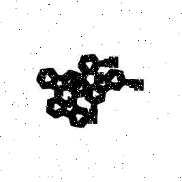 N#Cc1ccc2c(c1)c1cc(C#N)ccc1n2-c1c(C#N)cccc1-c1ccc(-n2c3ccccc3c3cccc(-n4c5ccccc5c5ccccc54)c32)cc1